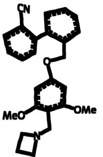 COc1cc(OCc2ccccc2-c2ccccc2C#N)cc(OC)c1CN1CCC1